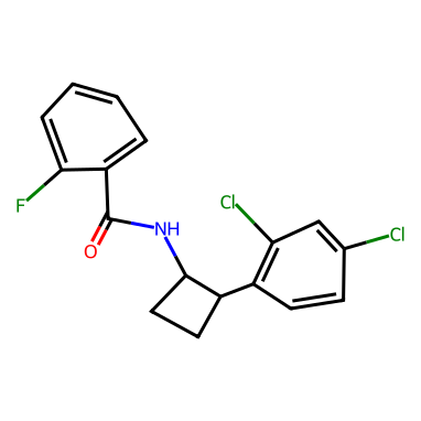 O=C(NC1CCC1c1ccc(Cl)cc1Cl)c1ccccc1F